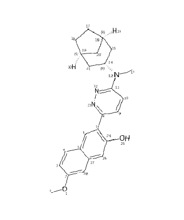 COc1ccc2cc(-c3ccc(N(C)[C@H]4C[C@@H]5CC[C@@H](C5)C4)nn3)c(O)cc2c1